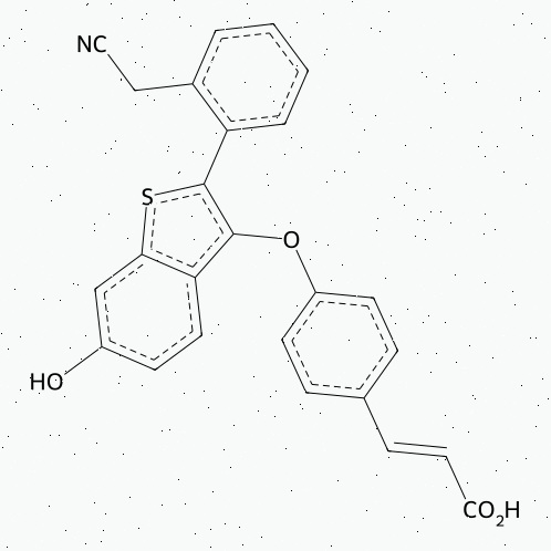 N#CCc1ccccc1-c1sc2cc(O)ccc2c1Oc1ccc(/C=C/C(=O)O)cc1